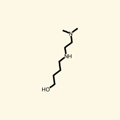 CN(C)CCNCCCCO